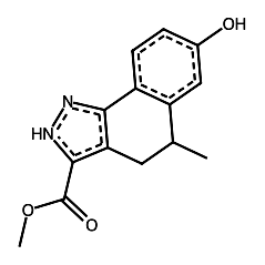 COC(=O)c1[nH]nc2c1CC(C)c1cc(O)ccc1-2